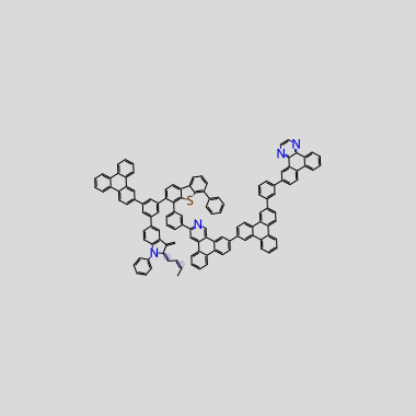 C=c1/c(=C\C=C/C)n(-c2ccccc2)c2ccc(-c3cc(-c4ccc5c6ccccc6c6ccccc6c5c4)cc(-c4ccc5c(sc6c(-c7ccccc7)cccc65)c4-c4cccc(-c5cc6c7ccccc7c7ccc(-c8ccc9c%10cc(-c%11cccc(-c%12ccc%13c%14ccccc%14c%14nccnc%14c%13c%12)c%11)ccc%10c%10ccccc%10c9c8)cc7c6cn5)c4)c3)cc12